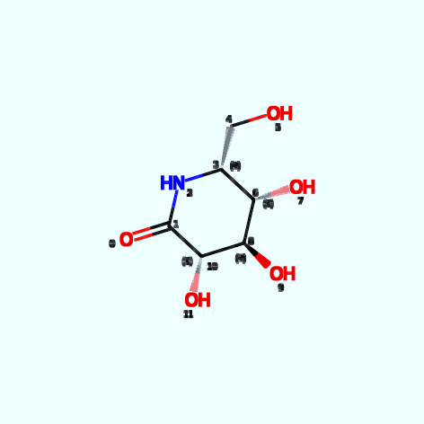 O=C1N[C@H](CO)[C@H](O)[C@@H](O)[C@@H]1O